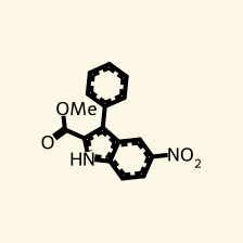 COC(=O)c1[nH]c2ccc([N+](=O)[O-])cc2c1-c1ccccc1